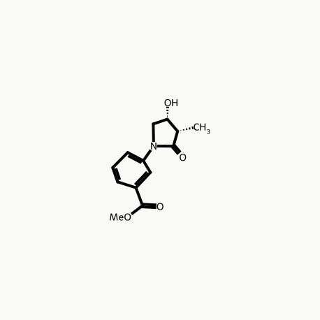 COC(=O)c1cccc(N2C[C@H](O)[C@H](C)C2=O)c1